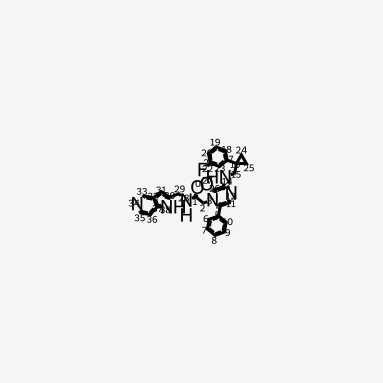 O=C(Cn1c(-c2ccccc2)cnc(NCC2(c3cccc(F)c3)CC2)c1=O)NCc1cc2cnccc2[nH]1